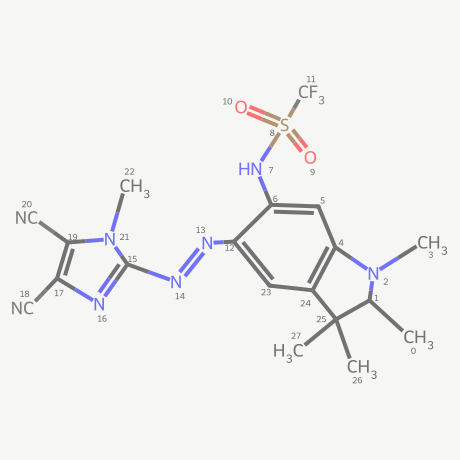 CC1N(C)c2cc(NS(=O)(=O)C(F)(F)F)c(N=Nc3nc(C#N)c(C#N)n3C)cc2C1(C)C